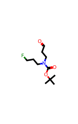 CC(C)(C)OC(=O)N(CCC=O)CCCF